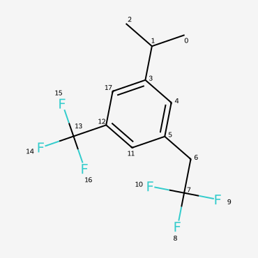 CC(C)c1cc(CC(F)(F)F)cc(C(F)(F)F)c1